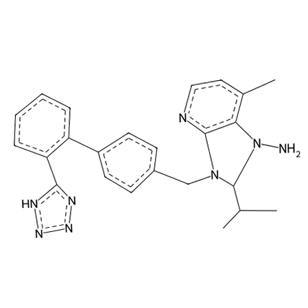 Cc1ccnc2c1N(N)C(C(C)C)N2Cc1ccc(-c2ccccc2-c2nnn[nH]2)cc1